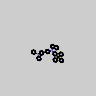 c1ccc(-n2c3ccccc3c3cc(-c4ccc(N(c5ccc(C(c6ccccc6)(c6ccccc6)c6ccccc6)cc5)c5cccc6ccccc56)cc4)ccc32)cc1